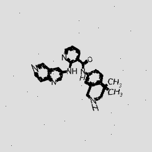 CC1(C)CNCc2cc(NC(=O)c3cccnc3Nc3cnc4ccncc4c3)ccc21